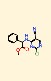 COC(=O)C(Nc1nc(Cl)ncc1C#N)c1ccccc1